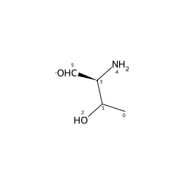 CC(O)[C@H](N)[C]=O